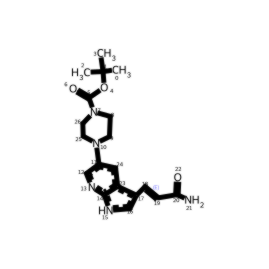 CC(C)(C)OC(=O)N1CCN(c2cnc3[nH]cc(/C=C/C(N)=O)c3c2)CC1